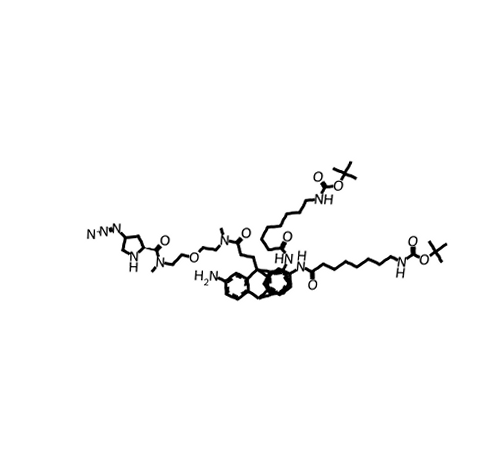 CN(CCOCCN(C)C(=O)[C@@H]1CC(N=[N+]=[N-])CN1)C(=O)CCC12c3cc(ccc3NC(=O)CCCCCCCNC(=O)OC(C)(C)C)C(c3ccc(N)cc31)c1ccc(NC(=O)CCCCCCCNC(=O)OC(C)(C)C)cc12